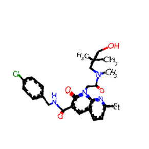 CCc1ccc2cc(C(=O)NCc3ccc(Cl)cc3)c(=O)n(CC(=O)N(C)CC(C)(C)CO)c2n1